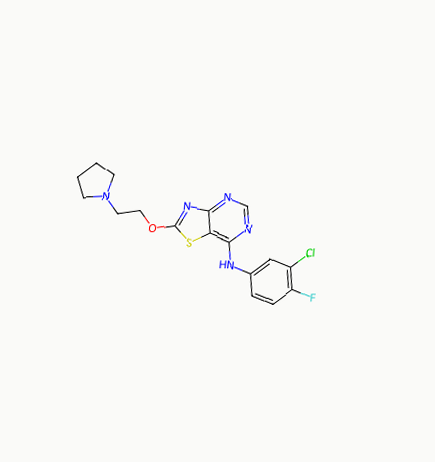 Fc1ccc(Nc2ncnc3nc(OCCN4CCCC4)sc23)cc1Cl